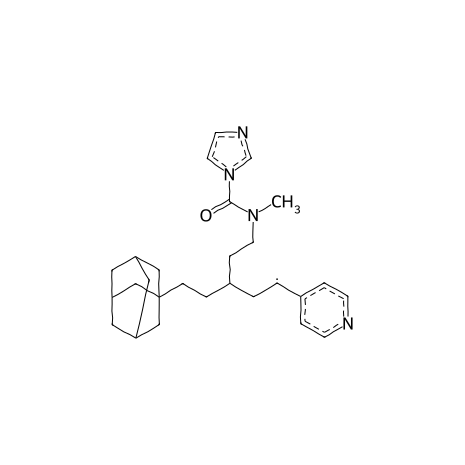 CN(CCC(C[CH]c1ccncc1)CCC12CC3CC(CC(C3)C1)C2)C(=O)n1ccnc1